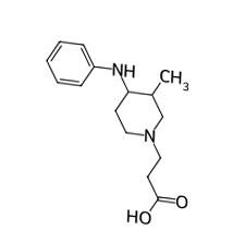 CC1CN(CCC(=O)O)CCC1Nc1ccccc1